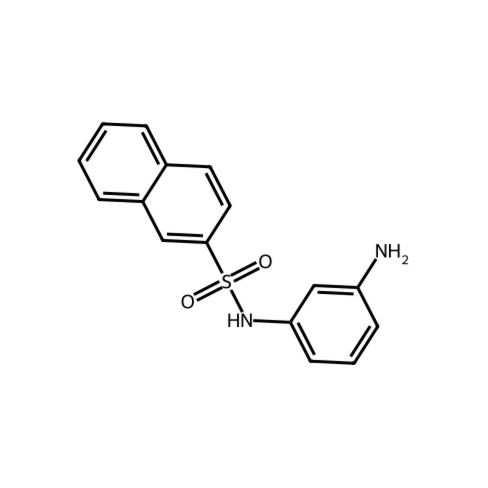 Nc1cccc(NS(=O)(=O)c2ccc3ccccc3c2)c1